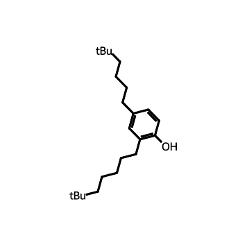 CC(C)(C)CCCCCc1cc(CCCCC(C)(C)C)ccc1O